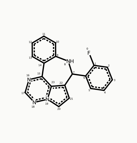 Fc1ccccc1C1Nc2ccccc2-c2ncnn3ccc1c23